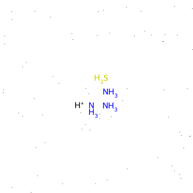 N.N.N.S.[H+]